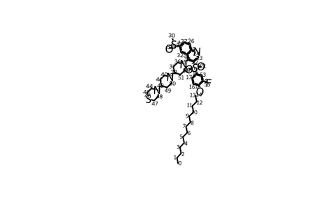 CCCCCCCCCCCCCCOc1ccc(S(=O)(=O)c2cnc3ccc([S+](C)[O-])cc3c2N2CCC(N3CCC(N4CCSCC4)CC3)CC2)cc1F